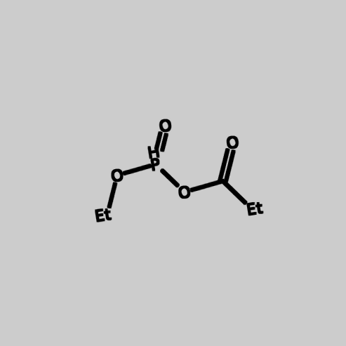 CCO[PH](=O)OC(=O)CC